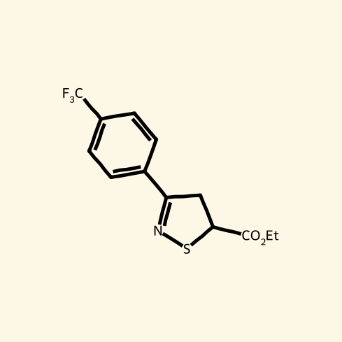 CCOC(=O)C1CC(c2ccc(C(F)(F)F)cc2)=NS1